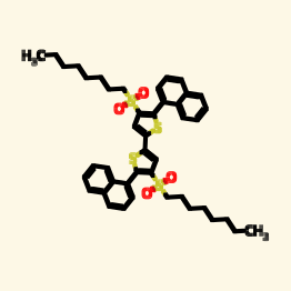 CCCCCCCCS(=O)(=O)c1cc(-c2cc(S(=O)(=O)CCCCCCCC)c(-c3cccc4ccccc34)s2)sc1-c1cccc2ccccc12